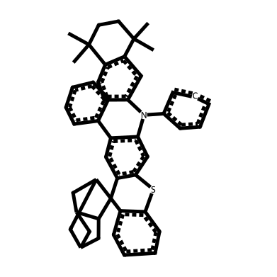 CC1(C)CCC(C)(C)c2cc(N(c3ccccc3)c3cc4c(cc3-c3ccccc3)C3(c5ccccc5S4)C4CC5CC(C4)C3C5)ccc21